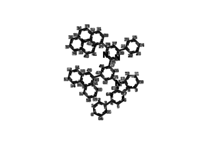 c1ccc(-c2ccc3c4ccccc4n(-c4cc(-c5nc(-c6ccccc6)cc(-c6ccc7ccc8cccc9ccc6c7c89)n5)cc(-c5cc6ccccc6c6ccccc56)c4)c3c2)cc1